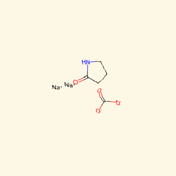 O=C([O-])[O-].O=C1CCCN1.[Na+].[Na+]